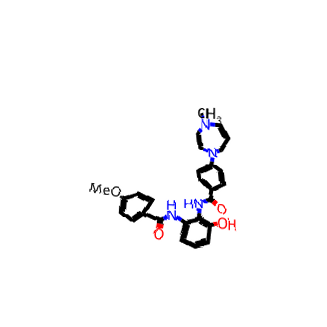 COc1ccc(C(=O)Nc2cccc(O)c2NC(=O)c2ccc(N3C=CN(C)C=CC3)cc2)cc1